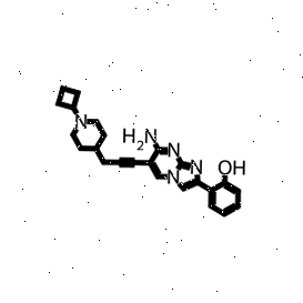 Nc1nc2nc(-c3ccccc3O)cn2cc1C#CCC1CCN(C2CCC2)CC1